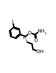 NC(=O)O[C@H](CCCO)c1cccc(I)c1